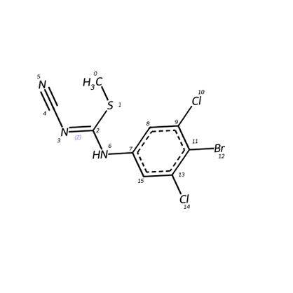 CS/C(=N\C#N)Nc1cc(Cl)c(Br)c(Cl)c1